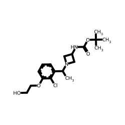 CC(c1cccc(OCCO)c1Cl)N1CC(NC(=O)OC(C)(C)C)C1